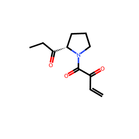 C=CC(=O)C(=O)N1CCC[C@H]1C(=O)CC